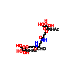 CC(=O)NC1C(OCCCCC(=O)NCCCCC(C=O)NC(=O)CCCCOC2OC(CO)C(O)C(O)C2NC(C)=O)OC(CO)C(O)C1O